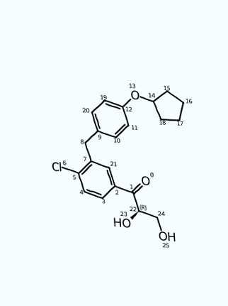 O=C(c1ccc(Cl)c(Cc2ccc(OC3CCCC3)cc2)c1)[C@H](O)CO